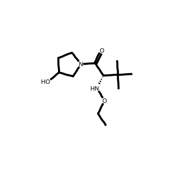 CCON[C@H](C(=O)N1CCC(O)C1)C(C)(C)C